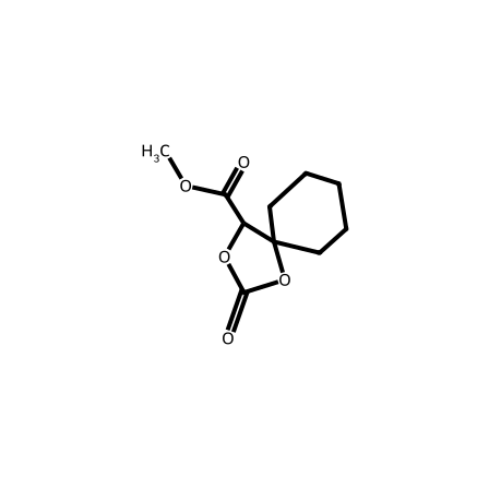 COC(=O)C1OC(=O)OC12CCCCC2